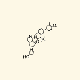 COc1ccc(-c2ccc(CN(C(=O)CC(C)(C)C)c3nccc4cc(N5CCC(O)C5)cnc34)cc2)cc1C